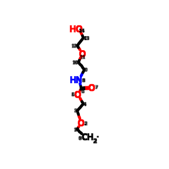 [CH2]COCCOC(=O)NCCOCCO